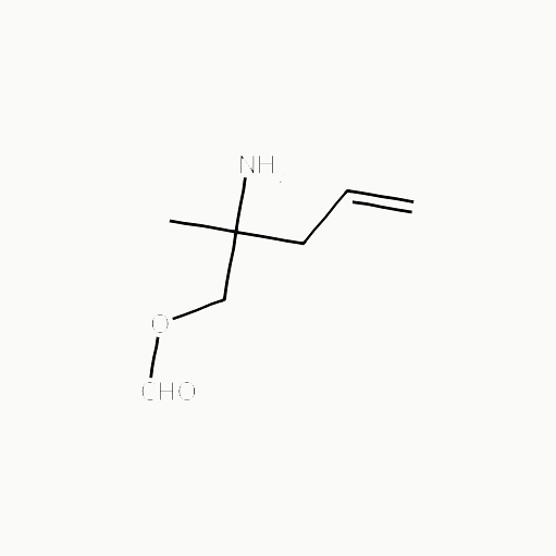 C=CCC(C)(N)COC=O